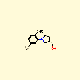 Cc1ccc(C=O)c(N2CC[C@H](CO)C2)c1